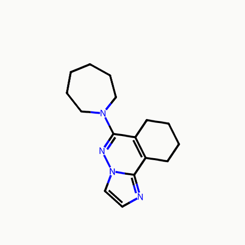 c1cn2nc(N3CCCCCC3)c3c(c2n1)CCCC3